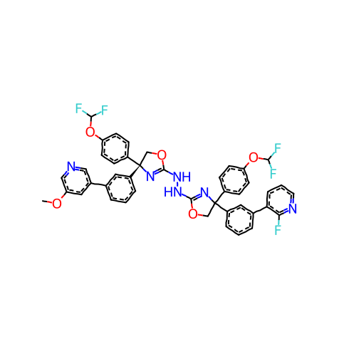 COc1cncc(-c2cccc([C@@]3(c4ccc(OC(F)F)cc4)COC(NNC4=NC(c5ccc(OC(F)F)cc5)(c5cccc(-c6cccnc6F)c5)CO4)=N3)c2)c1